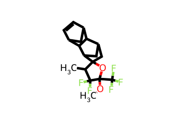 COC1(C(F)(F)F)OC2(CC3CC2C2C4C=CC(C4)C32)C(C)C1(F)F